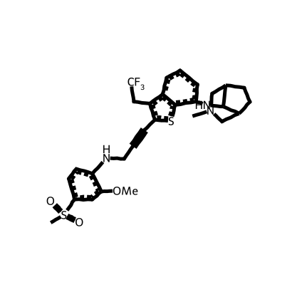 COc1cc(S(C)(=O)=O)ccc1NCC#Cc1sc2c(NC3C4CCC3CN(C)C4)cccc2c1CC(F)(F)F